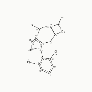 CC1OC(Cc2c(-c3c(Cl)cccc3Cl)nnn2C(C)C)O1